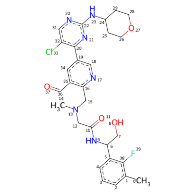 Cc1cccc(C(CO)NC(=O)CN(C)Cc2ncc(-c3nc(NC4CCOCC4)ncc3Cl)cc2C=O)c1F